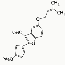 COc1ccc(-c2oc3ccc(OCC=C(C)C)cc3c2C=O)cc1